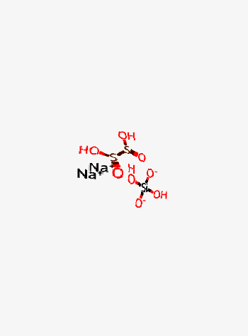 O=S(O)S(=O)O.[Na+].[Na+].[O-][Si]([O-])(O)O